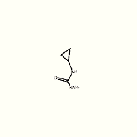 C[N]C(=O)NC1CC1